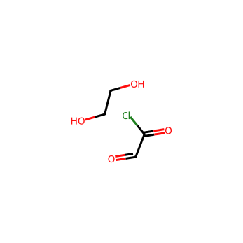 O=CC(=O)Cl.OCCO